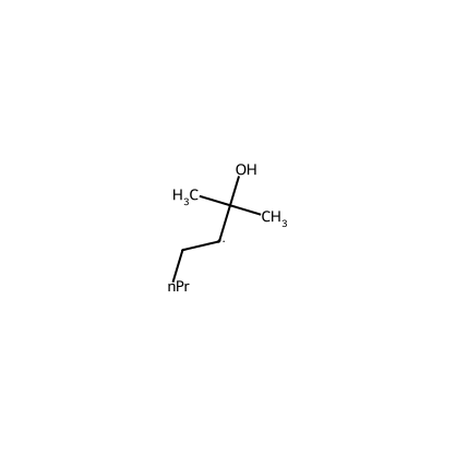 CCCC[CH]C(C)(C)O